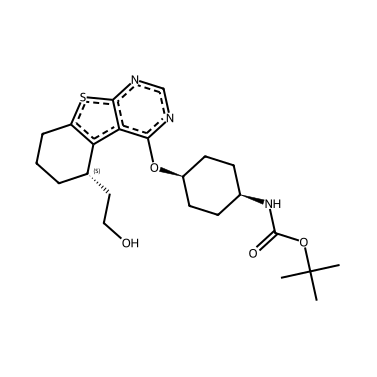 CC(C)(C)OC(=O)N[C@H]1CC[C@@H](Oc2ncnc3sc4c(c23)[C@H](CCO)CCC4)CC1